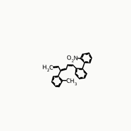 C=C/C(=C\C=C/c1ccccc1-c1ccccc1[N+](=O)[O-])c1ccccc1C